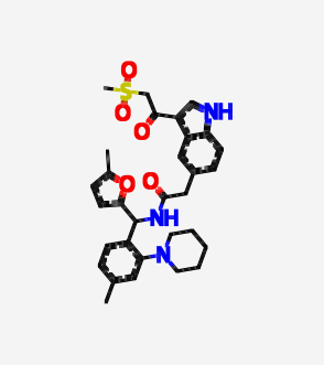 Cc1ccc(C(NC(=O)Cc2ccc3[nH]cc(C(=O)CS(C)(=O)=O)c3c2)c2ccc(C)o2)c(N2CCCCC2)c1